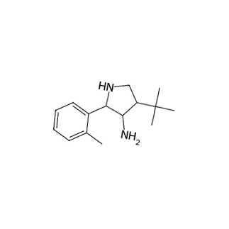 Cc1ccccc1C1NCC(C(C)(C)C)C1N